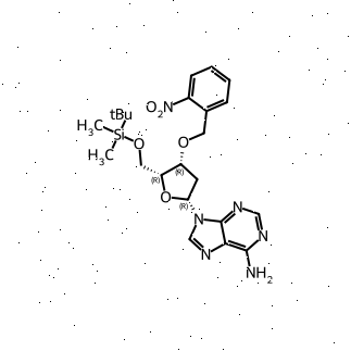 CC(C)(C)[Si](C)(C)OC[C@H]1O[C@@H](n2cnc3c(N)ncnc32)C[C@H]1OCc1ccccc1[N+](=O)[O-]